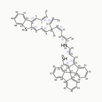 C\C=C/C=c1\c(=C/C=C/C(C)(/C=C\C)/C=C\C=C(/C)N/C=C/C=C2\C(=C/S)C3(c4ccccc42)c2ccccc2-c2ccccc23)sc2ccccc12